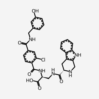 O=C(NCc1cccc(O)c1)c1ccc(C(=O)N[C@@H](CNC(=O)[C@@H]2Cc3c([nH]c4ccccc34)CN2)C(=O)O)c(Cl)c1